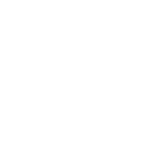 CC(C)[C@H](N)C(=O)OC(=O)C(=O)O